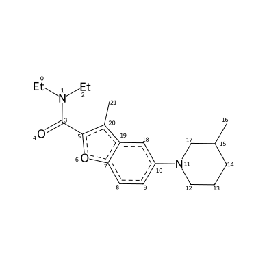 CCN(CC)C(=O)c1oc2ccc(N3CCCC(C)C3)cc2c1C